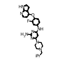 CC(C)CN1CCN(c2cc(Nc3ccc(Oc4ccnc5[nH]ccc45)c(F)c3)nc(N)n2)CC1